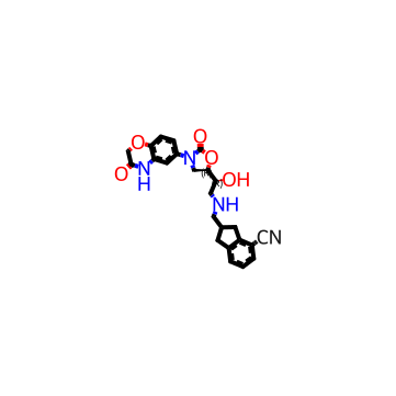 N#Cc1cccc2c1CC(CNC[C@@H](O)[C@H]1CN(c3ccc4c(c3)NC(=O)CO4)C(=O)O1)C2